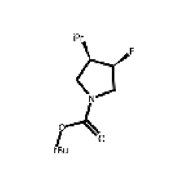 CC(C)[C@@H]1CN(C(=O)OC(C)(C)C)C[C@@H]1F